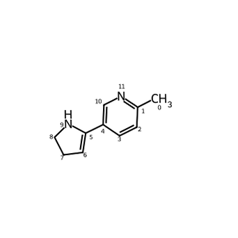 Cc1ccc(C2=CCCN2)cn1